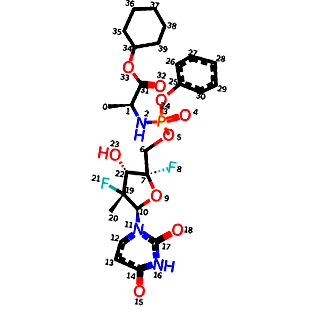 C[C@H](NP(=O)(OC[C@@]1(F)O[C@@H](n2ccc(=O)[nH]c2=O)[C@](C)(F)[C@@H]1O)Oc1ccccc1)C(=O)OC1CCCCC1